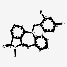 CN1C(=O)c2cccc3c2C1=Cc1cccnc1N3Cc1ccc(F)cc1F